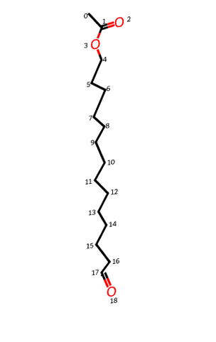 CC(=O)OCCCCCCCCCCCCC[C]=O